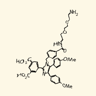 COc1ccc(-c2nc(-c3cc(C(=O)O)cc(C(=O)O)c3)n(Cc3ccc(C(=O)NCCOCCOCCN)cc3)c2-c2ccc(OC)cc2)cc1